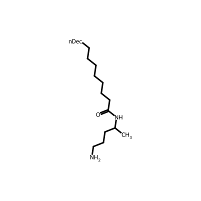 CCCCCCCCCCCCCCCCCC(=O)NC(C)CCCN